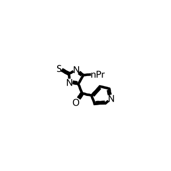 CCCC1=NC(=S)N=C1C(=O)c1ccncc1